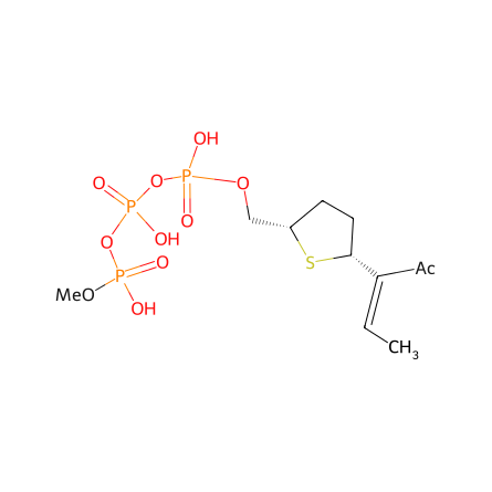 C/C=C(\C(C)=O)[C@H]1CC[C@@H](COP(=O)(O)OP(=O)(O)OP(=O)(O)OC)S1